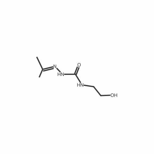 CC(C)=NNC(=O)NCCO